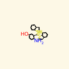 Nc1ccc(O)cc1C([SH]1C=Cc2ccccc21)[SH]1C=Cc2ccccc21